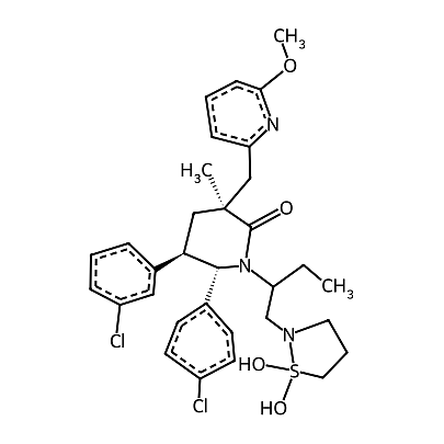 CCC(CN1CCCS1(O)O)N1C(=O)[C@](C)(Cc2cccc(OC)n2)C[C@H](c2cccc(Cl)c2)[C@H]1c1ccc(Cl)cc1